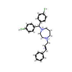 Fc1ccc(C(c2ccc(F)cc2)N2CCCN(C/C=C/c3ccccc3)CC2)cc1